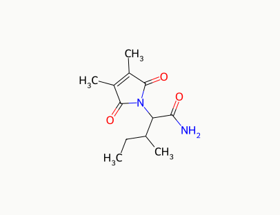 CCC(C)C(C(N)=O)N1C(=O)C(C)=C(C)C1=O